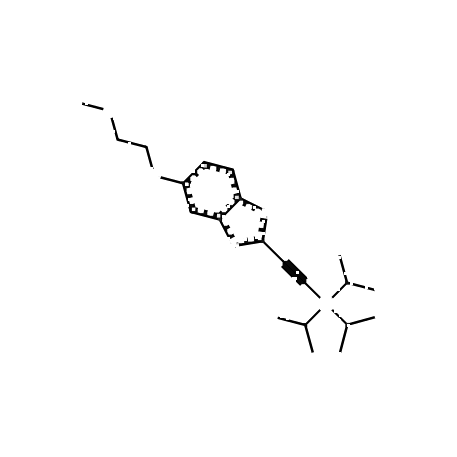 COCCOc1ccc2sc(C#C[Si](C(C)C)(C(C)C)C(C)C)nc2c1